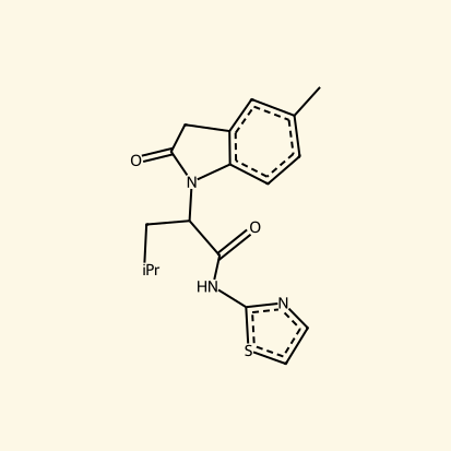 Cc1ccc2c(c1)CC(=O)N2C(CC(C)C)C(=O)Nc1nccs1